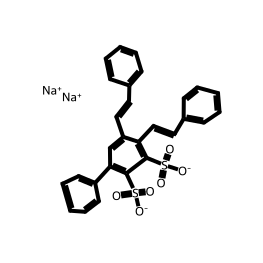 O=S(=O)([O-])c1c(-c2ccccc2)cc(C=Cc2ccccc2)c(C=Cc2ccccc2)c1S(=O)(=O)[O-].[Na+].[Na+]